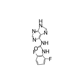 O=C(Nc1c(F)cccc1F)Nc1ncnc2[nH]cnc12